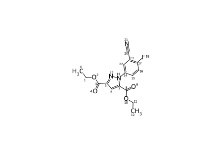 CCOC(=O)c1cc(C(=O)OCC)n(-c2ccc(F)c(C#N)c2)n1